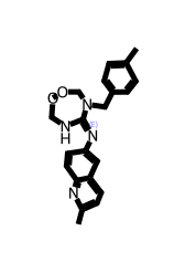 Cc1ccc(CN2COOCN/C2=N\c2ccc3nc(C)ccc3c2)cc1